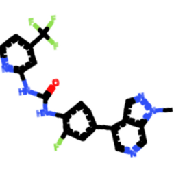 Cn1ncc2c(-c3ccc(NC(=O)Nc4cc(C(F)(F)F)ccn4)c(F)c3)cncc21